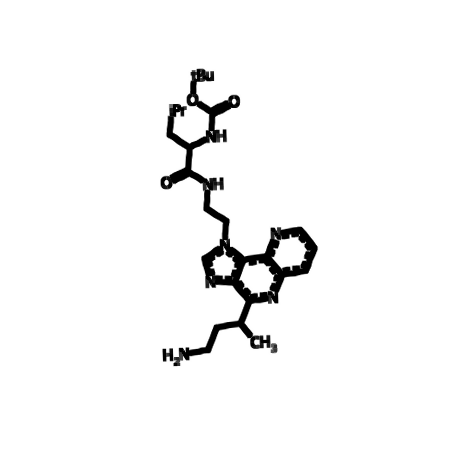 CC(C)CC(NC(=O)OC(C)(C)C)C(=O)NCCn1cnc2c(C(C)CCN)nc3cccnc3c21